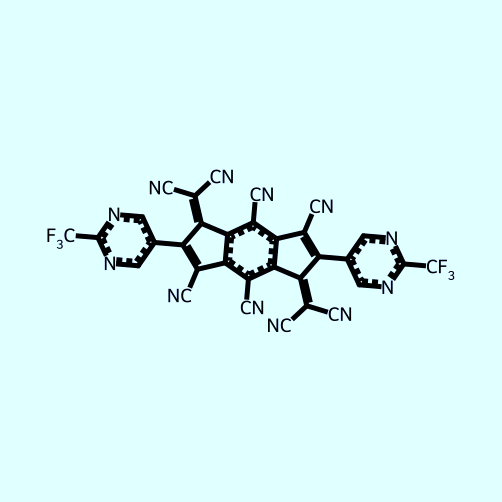 N#CC(C#N)=C1C(c2cnc(C(F)(F)F)nc2)=C(C#N)c2c(C#N)c3c(c(C#N)c21)C(C#N)=C(c1cnc(C(F)(F)F)nc1)C3=C(C#N)C#N